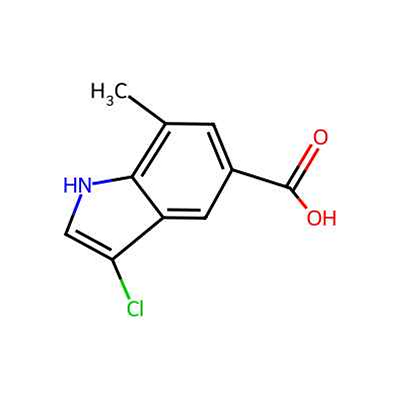 Cc1cc(C(=O)O)cc2c(Cl)c[nH]c12